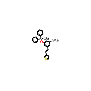 COc1cc(/C=C/c2ccsc2)cc(O[Si](c2ccccc2)(c2ccccc2)C(C)(C)C)c1